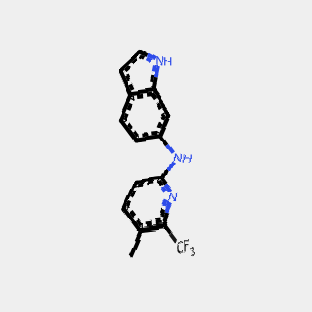 Cc1ccc(Nc2ccc3cc[nH]c3c2)nc1C(F)(F)F